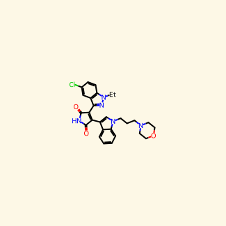 CCn1nc(C2=C(c3cn(CCCN4CCOCC4)c4ccccc34)C(=O)NC2=O)c2cc(Cl)ccc21